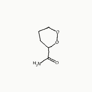 NC(=O)C1CCCOO1